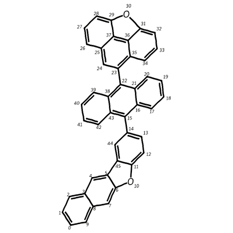 c1ccc2cc3c(cc2c1)oc1ccc(-c2c4ccccc4c(-c4cc5cccc6oc7cccc4c7c56)c4ccccc24)cc13